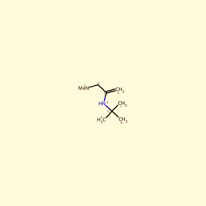 C=C(CNC)NC(C)(C)C